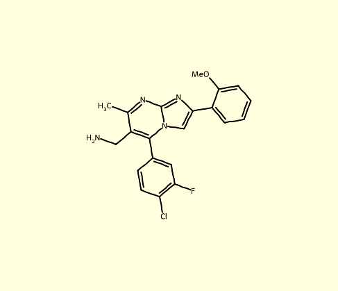 COc1ccccc1-c1cn2c(-c3ccc(Cl)c(F)c3)c(CN)c(C)nc2n1